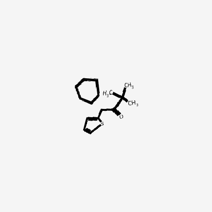 C1CCCCC1.CC(C)(C)C(=O)Cc1cccs1